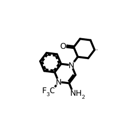 NC1=CN(C2C[CH]CCC2=O)c2ccccc2N1C(F)(F)F